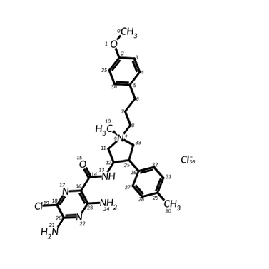 COc1ccc(CCC[N@@+]2(C)CC(NC(=O)c3nc(Cl)c(N)nc3N)C(c3ccc(C)cc3)C2)cc1.[Cl-]